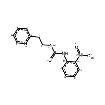 O=C(NCCc1ccccn1)Nc1ccccc1[N+](=O)[O-]